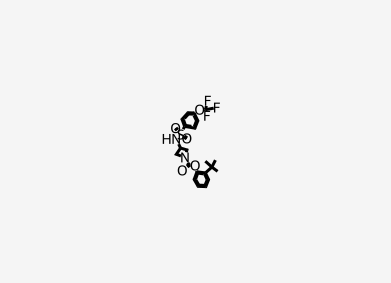 CC(C)(C)c1ccccc1OC(=O)N1CC(NS(=O)(=O)c2ccc(OC(F)(F)F)cc2)C1